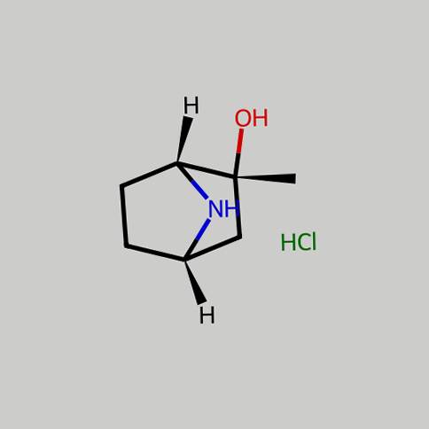 C[C@@]1(O)C[C@@H]2CC[C@H]1N2.Cl